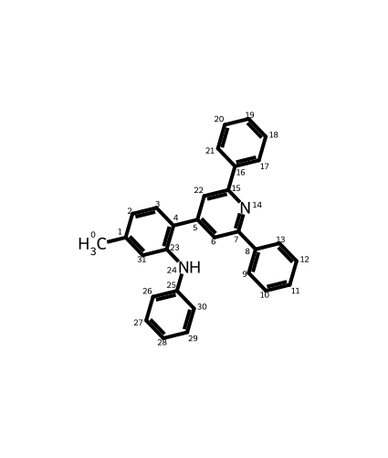 Cc1ccc(-c2cc(-c3ccccc3)nc(-c3ccccc3)c2)c(Nc2ccccc2)c1